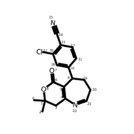 CC1(C)CC2=C(C(=O)O1)C(c1ccc(C#N)c(Cl)c1)CCC=N2